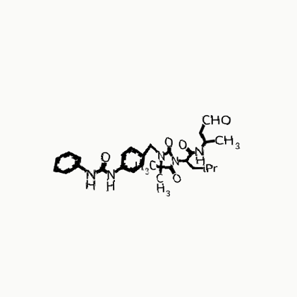 CC(C)CC(C(=O)NC(C)CC=O)N1C(=O)N(Cc2ccc(NC(=O)Nc3ccccc3)cc2)C(C)(C)C1=O